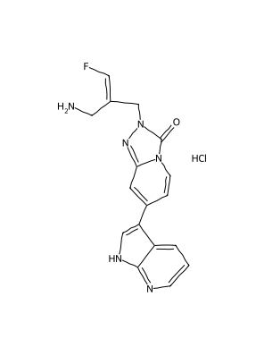 Cl.NC/C(=C\F)Cn1nc2cc(-c3c[nH]c4ncccc34)ccn2c1=O